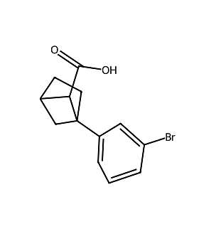 O=C(O)C1C2CCC1(c1cccc(Br)c1)C2